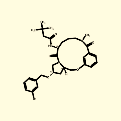 CN1CCC[C@H](NC(=O)CC(C)(C)C)C(=O)N2C[C@@H](OCc3cccc(Br)c3)C[C@H]2COc2cccc(c2)C1=O